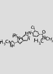 CC(C)n1c(-c2cnn(C)c2)cc2cnc(Nc3ccc(C(=O)N(C)C)cc3Cl)cc21